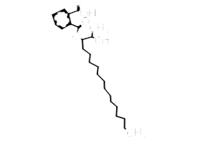 CCCCCCCCCCCCCCC(OC(=O)c1ccccc1C(=O)O)C(C)C